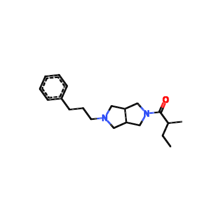 CCC(C)C(=O)N1CC2CN(CCCc3ccccc3)CC2C1